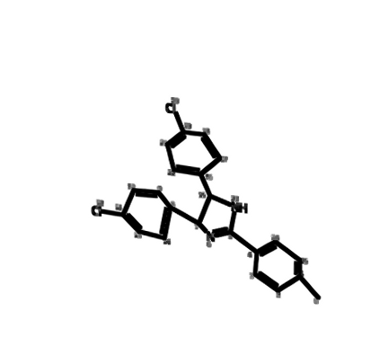 Cc1ccc(C2=NC(c3ccc(Cl)cc3)C(c3ccc(Cl)cc3)N2)cc1